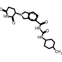 CC1CCC(NC(=O)NC(=O)c2ccc3c(c2)CN(C2CCC(=O)NC2=O)C3)CC1